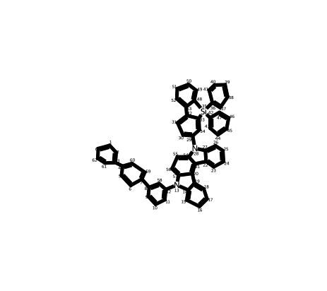 c1ccc(-c2ccc(-c3cccc(-n4c5ccccc5c5c6c7ccccc7n(-c7ccc8c(c7)[Si](c7ccccc7)(c7ccccc7)c7ccccc7-8)c6ccc54)c3)cc2)cc1